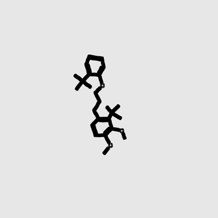 COc1ccc(CCCOc2ccccc2C(C)(C)C)c(C(C)(C)C)c1OC